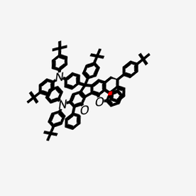 CC(C)(C)c1ccc([C@H](Cc2cc3c(c4oc5ccccc5c24)-c2c(cc(N(c4ccccc4)c4ccc(C(C)(C)C)cc4)c4c2oc2ccccc24)C3(c2ccc(N(c3ccc(C(C)(C)C)cc3)c3ccc(C(C)(C)C)cc3)cc2)c2ccc(C(C)(C)C)cc2)c2ccccc2)cc1